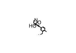 [CH2]Cc1cc(C#C[C@]2(O)CCN(C)C2=O)ccc1C